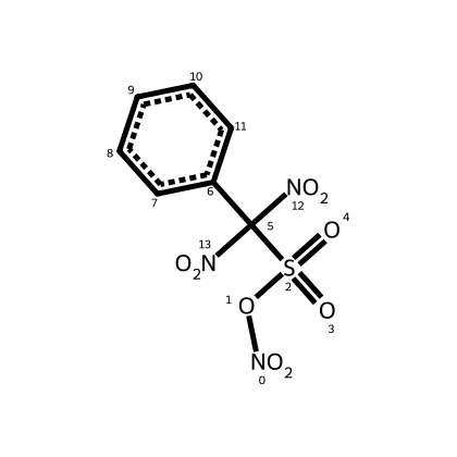 O=[N+]([O-])OS(=O)(=O)C(c1ccccc1)([N+](=O)[O-])[N+](=O)[O-]